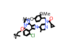 COc1ccc(CN(C(=O)C2CC2)c2cc(-n3cc(-c4ccccc4Cl)c(-c4nccn4COCC[Si](C)(C)C)c3)c(C)cn2)c(OC)c1